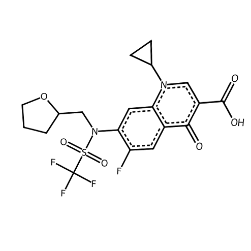 O=C(O)c1cn(C2CC2)c2cc(N(CC3CCCO3)S(=O)(=O)C(F)(F)F)c(F)cc2c1=O